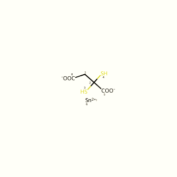 O=C([O-])CC(S)(S)C(=O)[O-].[Sn+2]